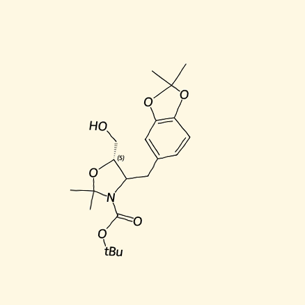 CC(C)(C)OC(=O)N1C(Cc2ccc3c(c2)OC(C)(C)O3)[C@@H](CO)OC1(C)C